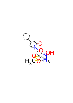 C[C@@](CCn1ccc(C2=CCCCC2)cc1=O)(C(=O)NO)S(C)(=O)=O